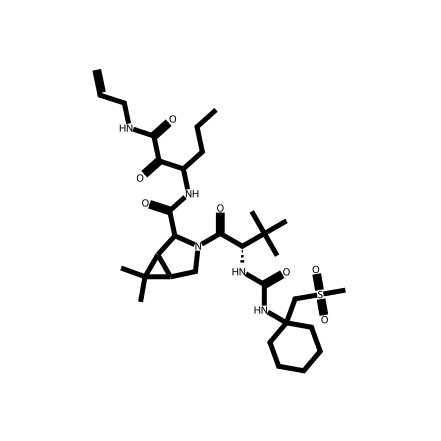 C=CCNC(=O)C(=O)C(CCC)NC(=O)C1C2C(CN1C(=O)[C@@H](NC(=O)NC1(CS(C)(=O)=O)CCCCC1)C(C)(C)C)C2(C)C